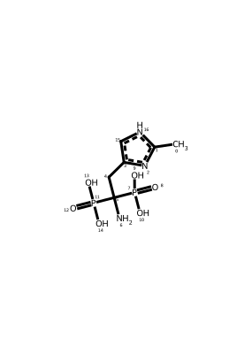 Cc1nc(CC(N)(P(=O)(O)O)P(=O)(O)O)c[nH]1